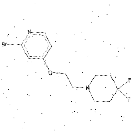 FC1(F)CCN(CCOc2ccnc(Br)c2)CC1